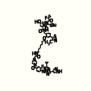 Cc1ncsc1-c1ccc(CNC(=O)[C@@H]2C[C@@H](O)CN2C(=O)[C@@H](NC(=O)C2(F)CC2)C(C)(C)C)c(OCCCCCCCNC(=O)CN2CCN(C(=O)c3ccc(Nc4nc(C5CC5)cn5c(-c6cn[nH]c6)cnc45)c(F)c3)CC2)c1